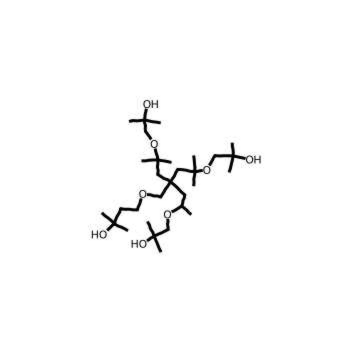 CC(CC(COCCC(C)(C)O)(CC(C)(C)OCC(C)(C)O)CC(C)(C)OCC(C)(C)O)OCC(C)(C)O